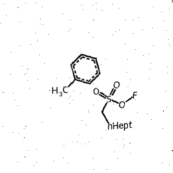 CCCCCCCCS(=O)(=O)OF.Cc1ccccc1